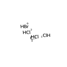 Br.Cl.Cl.Cl.[C]